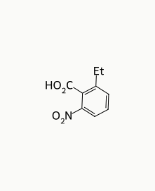 CCc1cccc([N+](=O)[O-])c1C(=O)O